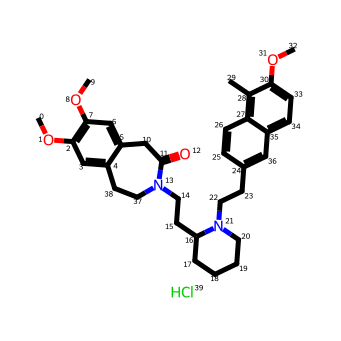 COc1cc2c(cc1OC)CC(=O)N(CCC1CCCCN1CCc1ccc3c(C)c(OC)ccc3c1)CC2.Cl